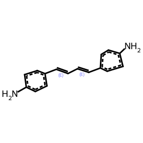 Nc1ccc(/C=C/C=C/c2ccc(N)cc2)cc1